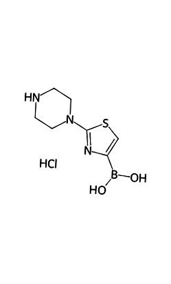 Cl.OB(O)c1csc(N2CCNCC2)n1